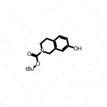 CC(C)(C)OC(=O)N1[C]Cc2ccc(O)cc2C1